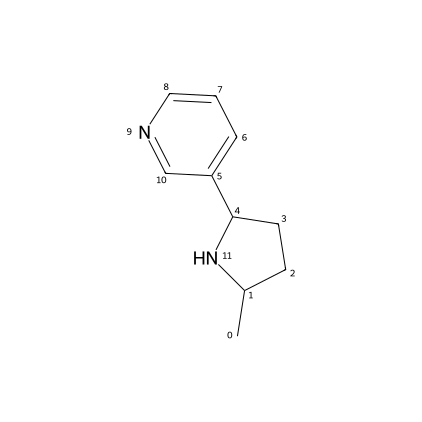 CC1CCC(c2cccnc2)N1